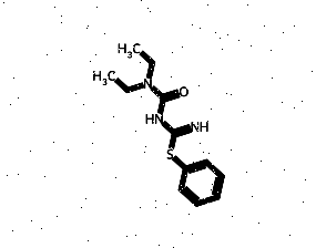 CCN(CC)C(=O)NC(=N)Sc1ccccc1